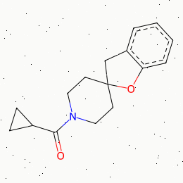 O=C(C1CC1)N1CCC2(CC1)Cc1ccccc1O2